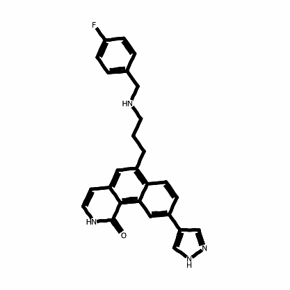 O=c1[nH]ccc2cc(CCCNCc3ccc(F)cc3)c3ccc(-c4cn[nH]c4)cc3c12